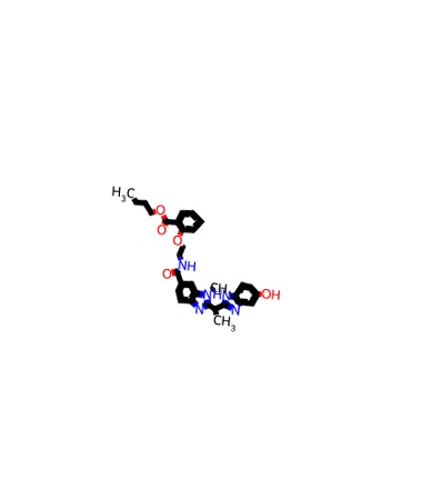 CCCCOC(=O)c1ccccc1OCCNC(=O)c1ccc2nc(C(C)c3nc4cc(O)ccc4[nH]3)n(C)c2c1